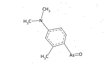 Cc1cc(N(C)C)ccc1[As]=O